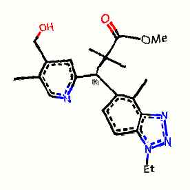 CCn1nnc2c(C)c([C@@H](c3cc(CO)c(C)cn3)C(C)(C)C(=O)OC)ccc21